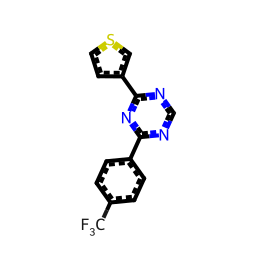 FC(F)(F)c1ccc(-c2ncnc(-c3ccsc3)n2)cc1